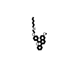 CCCCCCN=CCOc1ccc(C(=O)c2c(-c3ccccc3)ccc3cc(OC)ccc23)cc1